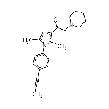 CC#Cc1ccc(-n2c(C)cc(C(=O)CN3CCCCC3)c2C)cc1